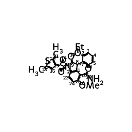 CCOc1ccccc1[C]1C(=O)N(S(=O)(=O)c2cc(C)sc2C)c2ccc(OC)c(C(N)=O)c21